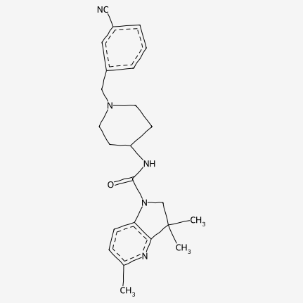 Cc1ccc2c(n1)C(C)(C)CN2C(=O)NC1CCN(Cc2cccc(C#N)c2)CC1